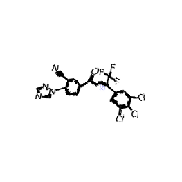 N#Cc1cc(C(=O)/C=C(/c2cc(Cl)c(Cl)c(Cl)c2)C(F)(F)F)ccc1-n1cncn1